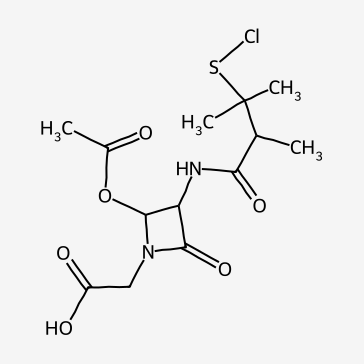 CC(=O)OC1C(NC(=O)C(C)C(C)(C)SCl)C(=O)N1CC(=O)O